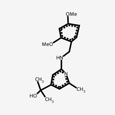 COc1ccc(CNc2cc(C(C)(C)O)cc(C)n2)c(OC)c1